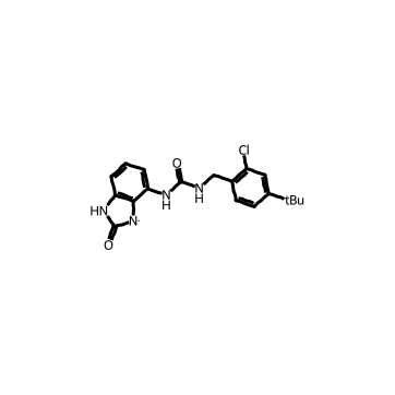 CC(C)(C)c1ccc(CNC(=O)Nc2cccc3c2[N]C(=O)N3)c(Cl)c1